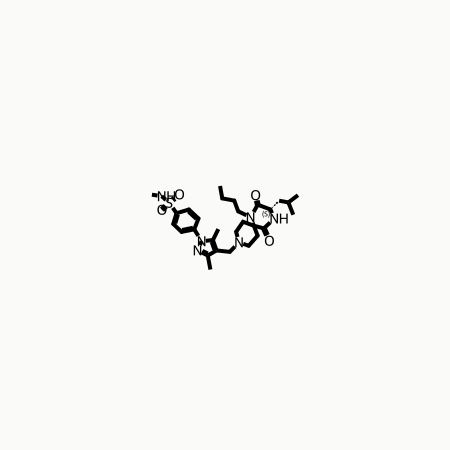 CCCCN1C(=O)[C@H](CC(C)C)NC(=O)C12CCN(Cc1c(C)nn(-c3ccc(S(=O)(=O)NC)cc3)c1C)CC2